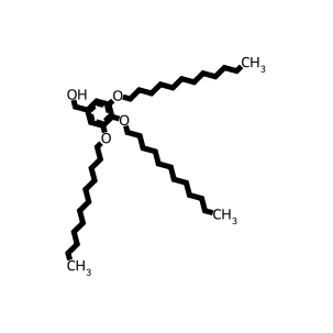 CCCCCCCCCCCCOc1cc(CO)cc(OCCCCCCCCCCCC)c1OCCCCCCCCCCCC